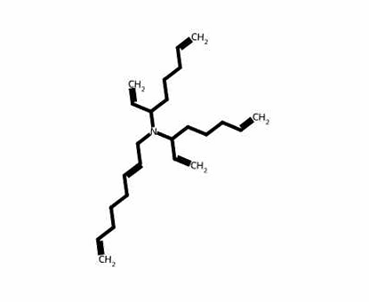 C=CCCCC=CCN(C(C=C)CCCC=C)C(C=C)CCCC=C